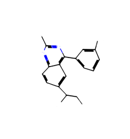 CCOC(=O)CC(C)c1ccc2nc(C)nc(-c3cccc(C(F)(F)F)c3)c2c1